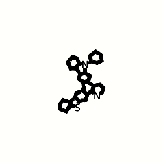 c1ccc(-n2c3ccccc3c3cc4c(cc32)c2cccnc2c2cc3sc5ccccc5c3cc42)cc1